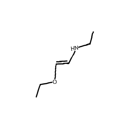 CCNC=COCC